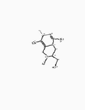 CC(=O)N1CC2=C(C(C)(C)C)[C@H](C)N=C(C(C)(C)C)N2CC1CO